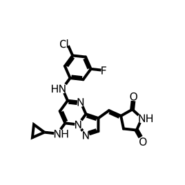 O=C1C/C(=C\c2cnn3c(NC4CC4)cc(Nc4cc(F)cc(Cl)c4)nc23)C(=O)N1